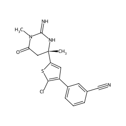 CN1C(=N)N[C@](C)(c2cc(-c3cccc(C#N)c3)c(Cl)s2)CC1=O